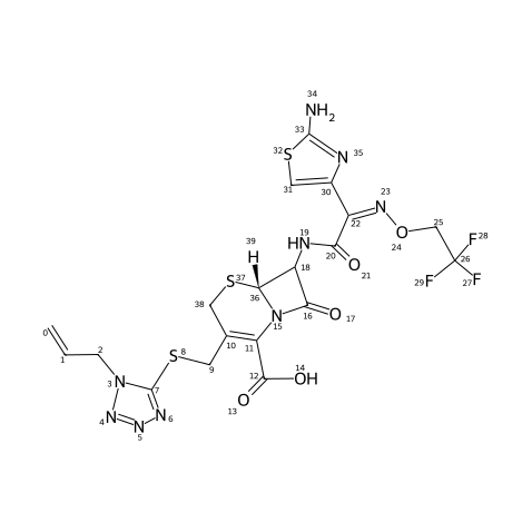 C=CCn1nnnc1SCC1=C(C(=O)O)N2C(=O)C(NC(=O)/C(=N\OCC(F)(F)F)c3csc(N)n3)[C@H]2SC1